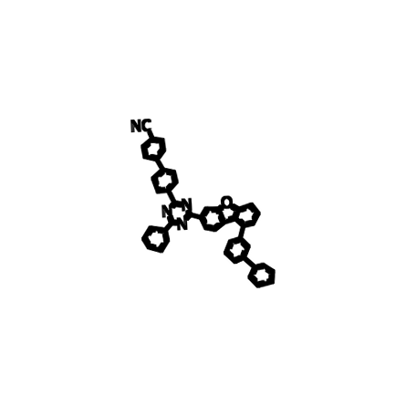 N#Cc1ccc(-c2ccc(-c3nc(-c4ccccc4)nc(-c4ccc5c(c4)oc4cccc(-c6cccc(-c7ccccc7)c6)c45)n3)cc2)cc1